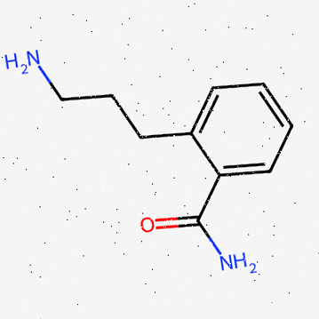 NCCCc1ccccc1C(N)=O